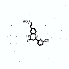 N#Cc1cccc(C2=Nc3ccc(C=CC(=O)O)cc3NC(=O)C2)c1